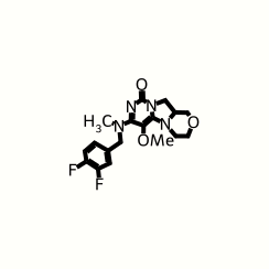 COc1c(N(C)Cc2ccc(F)c(F)c2)nc(=O)n2c1N1CCOCC1C2